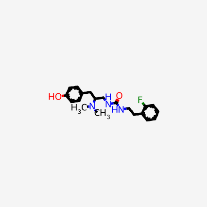 CN(C)C(CNC(=O)NCCc1ccccc1F)Cc1ccc(O)cc1